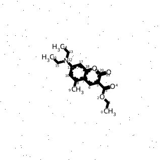 CCOC(=O)c1cc2c(C)cc(N(CC)CC)cc2oc1=O